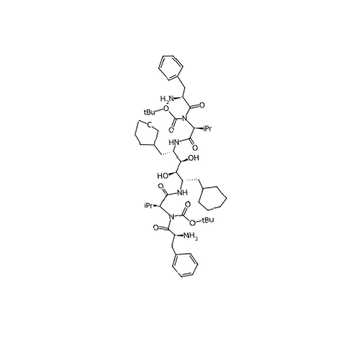 CC(C)[C@@H](C(=O)N[C@@H](CC1CCCCC1)[C@@H](O)[C@H](O)[C@H](CC1CCCCC1)NC(=O)[C@H](C(C)C)N(C(=O)OC(C)(C)C)C(=O)[C@@H](N)Cc1ccccc1)N(C(=O)OC(C)(C)C)C(=O)[C@@H](N)Cc1ccccc1